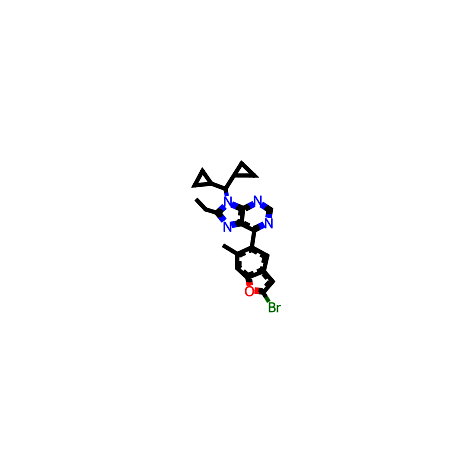 CCc1nc2c(-c3cc4cc(Br)oc4cc3C)ncnc2n1C(C1CC1)C1CC1